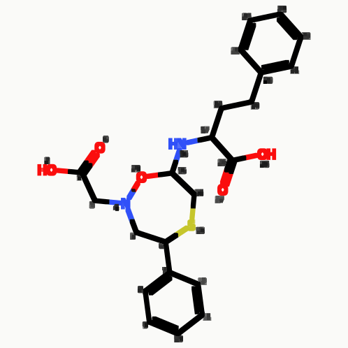 O=C(O)CN1CC(c2ccccc2)SCC(NC(CCc2ccccc2)C(=O)O)O1